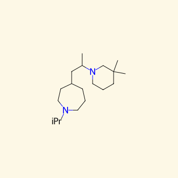 CC(C)N1CCCC(CC(C)N2CCCC(C)(C)C2)CC1